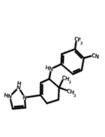 CC1(C)CCC(N2C=CNN2)=CC1Nc1ccc(C#N)c(C(F)(F)F)c1